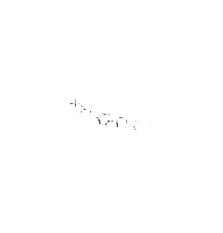 CC(C)(C)OC(=O)N1CC=C(c2ncc(CCC3COC(C)(C)O3)cc2Cl)CC1